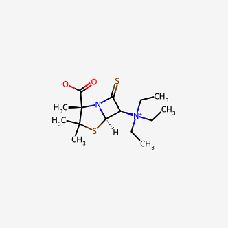 CC[N+](CC)(CC)[C@@H]1C(=S)N2[C@@H]1SC(C)(C)[C@]2(C)C(=O)[O-]